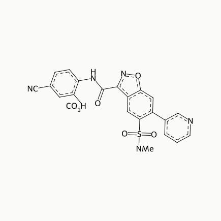 CNS(=O)(=O)c1cc2c(C(=O)Nc3ccc(C#N)cc3C(=O)O)noc2cc1-c1cccnc1